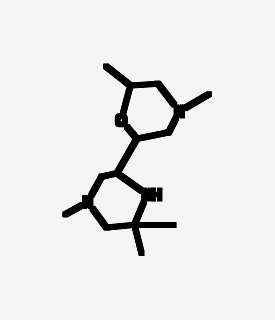 CC1CN(C)CC(C2CN(C)CC(C)(C)N2)O1